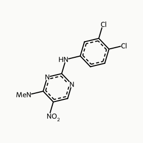 CNc1nc(Nc2ccc(Cl)c(Cl)c2)ncc1[N+](=O)[O-]